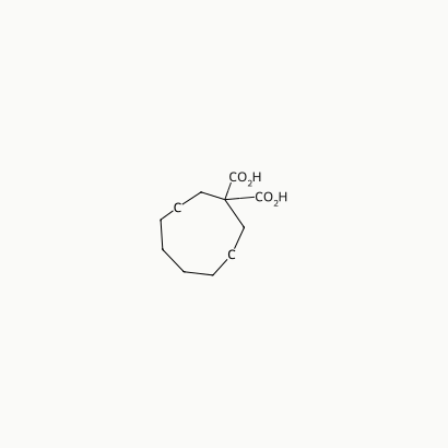 O=C(O)C1(C(=O)O)CCCCCCCC1